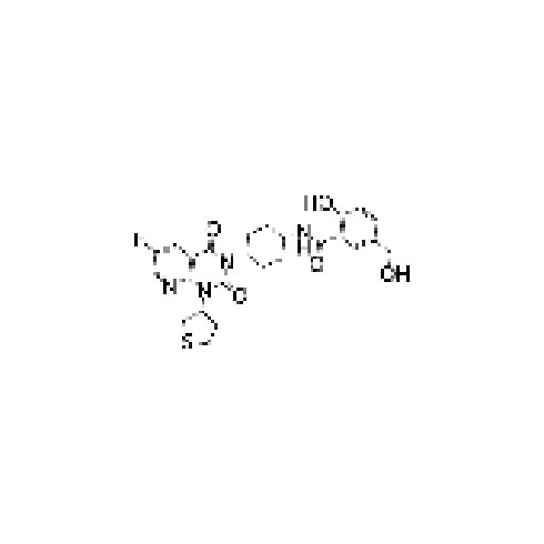 O=C(N[C@H]1CC[C@@H](n2c(=O)c3cc(F)cnc3n(C3CCSC3)c2=O)CC1)c1cc(CO)ccc1O